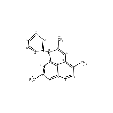 Cc1ccc2cc(C(F)(F)F)nc3c2c1C=C(C(F)(F)F)N3c1ccccc1